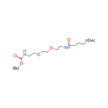 CCCCCCCCCCCCCC(=O)NCCOCCOCCNC(=O)OC(C)(C)C